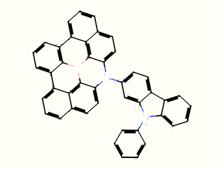 c1ccc(-n2c3ccccc3c3ccc(N4c5ccc6cccc7c6c5B5c6c-7cccc6-c6cccc7ccc4c5c67)cc32)cc1